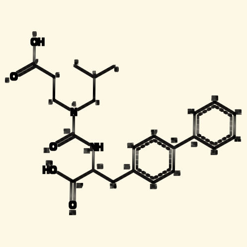 CC(C)CN(CCC(=O)O)C(=O)NC(Cc1ccc(-c2ccccc2)cc1)C(=O)O